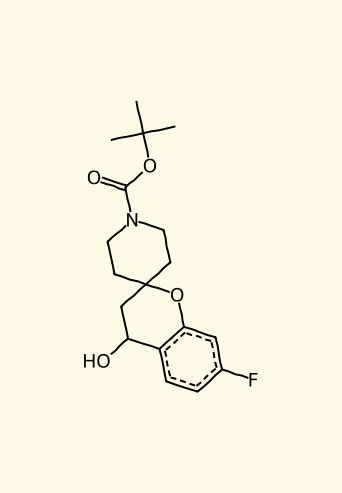 CC(C)(C)OC(=O)N1CCC2(CC1)CC(O)c1ccc(F)cc1O2